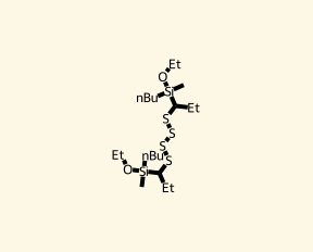 CCCC[Si](C)(OCC)C(CC)SSSSC(CC)[Si](C)(CCCC)OCC